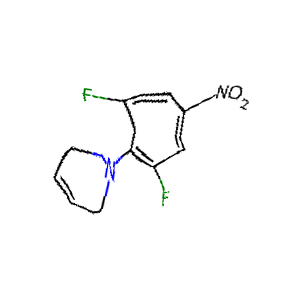 O=[N+]([O-])c1cc(F)c(N2CC=CC2)c(F)c1